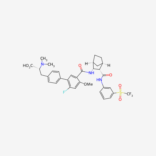 COc1cc(F)c(-c2ccc(C[C@H](C(=O)O)N(C)C)cc2)cc1C(=O)N[C@@H]1[C@H]2CC[C@H](C2)[C@@H]1C(=O)Nc1cccc(S(=O)(=O)C(F)(F)F)c1